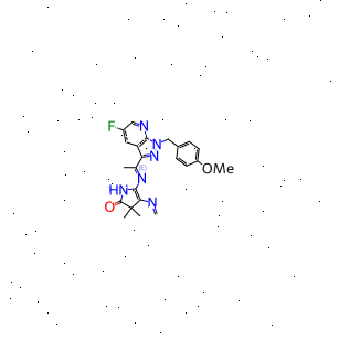 C=NC1=C(/N=C(\C)c2nn(Cc3ccc(OC)cc3)c3ncc(F)cc23)NC(=O)C1(C)C